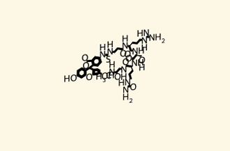 CNC(=O)CNC(=O)[C@H](CCCNC(N)=O)NC(=O)[C@H](CO)NC(=O)[C@H](CCCNC(=N)N)NC(=O)CCNC(=S)Nc1ccc2c(c1)C(=O)OC21c2ccc(O)cc2Oc2cc(O)ccc21